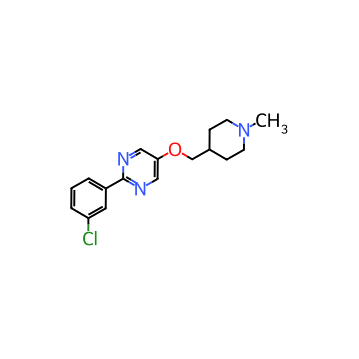 CN1CCC(COc2cnc(-c3cccc(Cl)c3)nc2)CC1